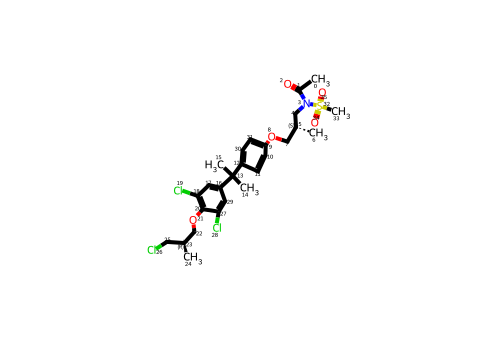 CC(=O)N(C[C@H](C)COc1ccc(C(C)(C)c2cc(Cl)c(OC[C@@H](C)CCl)c(Cl)c2)cc1)S(C)(=O)=O